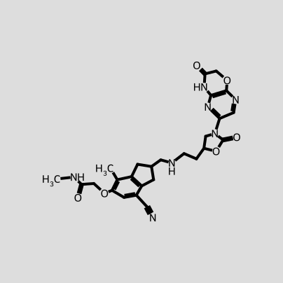 CNC(=O)COc1cc(C#N)c2c(c1C)CC(CNCCC1CN(c3cnc4c(n3)NC(=O)CO4)C(=O)O1)C2